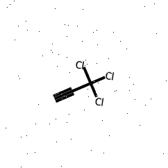 C#CC(Cl)(Cl)Cl